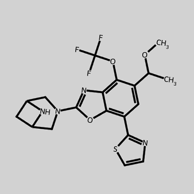 COC(C)c1cc(-c2nccs2)c2oc(N3CC4CC(C3)N4)nc2c1OC(F)(F)F